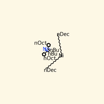 CCCCCCCCCCCCCCCCCCCCC[CH2][Ni][CH2]CCCCCCCCCCCCCCCCCCCCC.CCCCCCCCc1cccc(C2=C(CCCC)C(CCCC)=C(c3cccc(CCCCCCCC)c3)[N+]2=[N-])c1